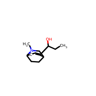 CCC(O)C1=CCC2CCC1CN2C